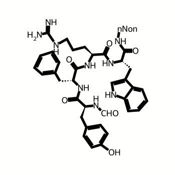 CCCCCCCCCNC(=O)[C@H](Cc1c[nH]c2ccccc12)NC(=O)[C@H](CCCNC(=N)N)NC(=O)[C@@H](Cc1ccccc1)NC(=O)[C@H](Cc1ccc(O)cc1)NC=O